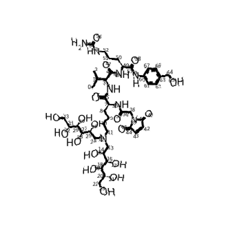 CC(C)[C@H](NC(=O)[C@H](CCCCN(C[C@H](O)[C@@H](O)[C@H](O)[C@H](O)CO)C[C@H](O)[C@@H](O)[C@H](O)[C@H](O)CO)NC(=O)CN1C(=O)C=CC1=O)C(=O)N[C@@H](CCCNC(N)=O)C(=O)Nc1ccc(CO)cc1